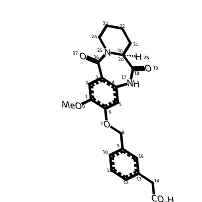 COc1cc2c(cc1OCc1cccc(CC(=O)O)c1)NC(=O)[C@@H]1CCCCN1C2=O